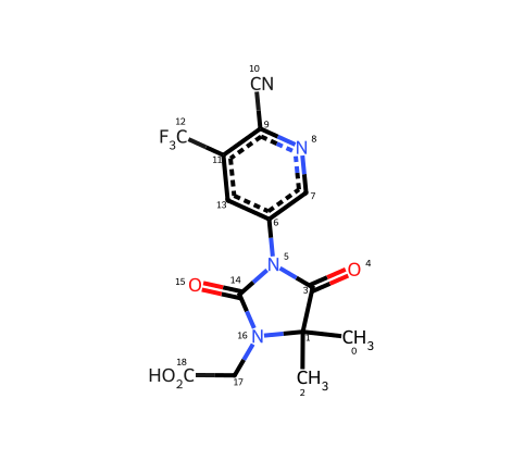 CC1(C)C(=O)N(c2cnc(C#N)c(C(F)(F)F)c2)C(=O)N1CC(=O)O